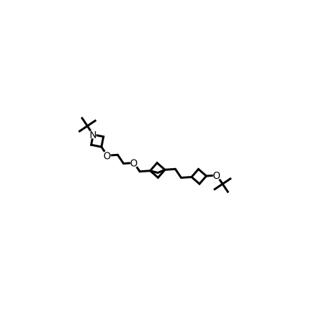 CC(C)(C)OC1CC(CCC23CC(COCCOC4CN(C(C)(C)C)C4)(C2)C3)C1